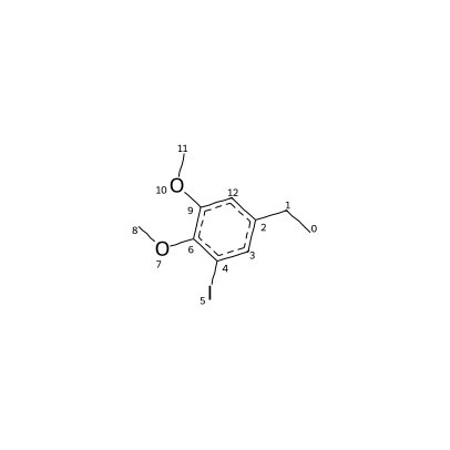 CCc1cc(I)c(OC)c(OC)c1